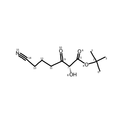 CC(C)(C)OC(=O)[C@H](O)C(=O)CCCC#N